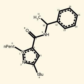 CCCCCn1nc(C(C)(C)C)cc1C(=O)NC(C)c1ccccc1